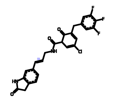 O=C1Cc2ccc(/C=C/CNC(=O)C3C=C(Cl)C=C(Cc4cc(F)c(F)c(F)c4)C3=O)cc2N1